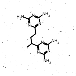 CC(CCc1nc(N)nc(N)n1)c1nc(N)nc(N)n1